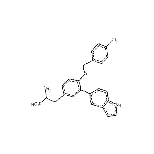 Cc1ccc(COc2ccc(CC(C)C(=O)O)cc2-c2ccc3[nH]ccc3c2)cc1